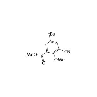 COC(=O)c1cc(C(C)(C)C)cc(C#N)c1OC